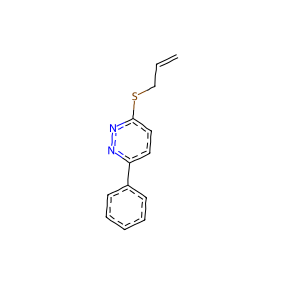 C=CCSc1ccc(-c2ccccc2)nn1